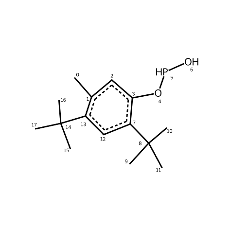 Cc1cc(OPO)c(C(C)(C)C)cc1C(C)(C)C